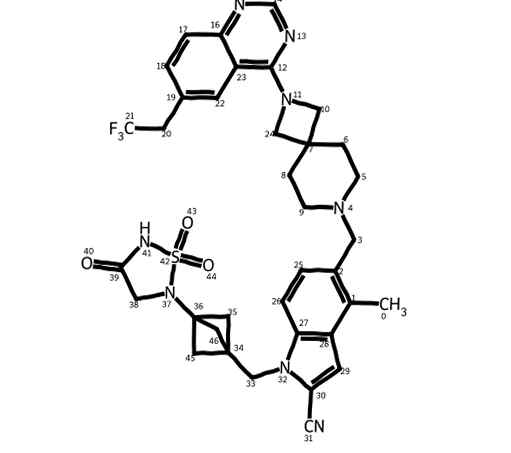 Cc1c(CN2CCC3(CC2)CN(c2ncnc4ccc(CC(F)(F)F)cc24)C3)ccc2c1cc(C#N)n2CC12CC(N3CC(=O)NS3(=O)=O)(C1)C2